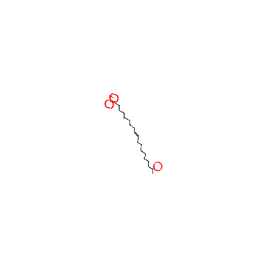 COC(=O)CCCCCCCC=CCCCCCCCC(C)=O